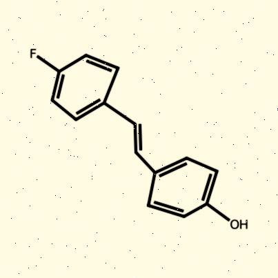 Oc1ccc(C=Cc2ccc(F)cc2)cc1